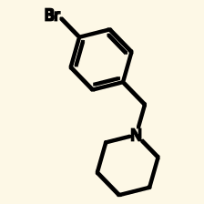 Brc1ccc(CN2CCCCC2)cc1